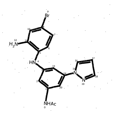 CC(=O)Nc1cc(Nc2ccc(Br)cc2N)cc(-n2cccn2)c1